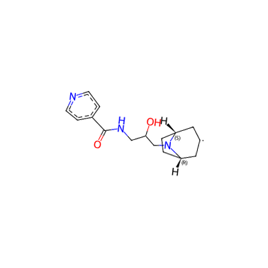 O=C(NCC(O)CN1[C@@H]2C[CH]C[C@H]1CC2)c1ccncc1